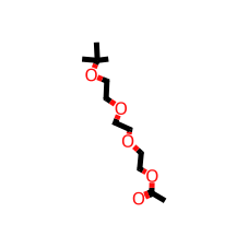 CC(=O)OCCOCCOCCOC(C)(C)C